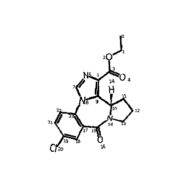 CCOC(=O)c1ncn2c1[C@@H]1CCCN1C(=O)c1cc(Cl)ccc1-2